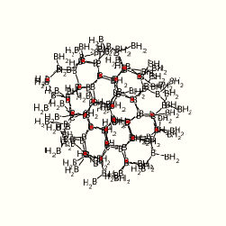 BBB(B)B(B(B)B)B(B(B(B)B)B(B)B)B(B(B(B(B(B)B)B(B)B)B(B(B)B)B(B)B)B(B(B(B)B)B(B)B)B(B(B)B)B(B)B)B(B(B(B(B(B)B)B(B)B)B(B(B)B)B(B)B)B(B(B(B)B)B(B)B)B(B(B)B)B(B)B)B(B(B(B(B(B)B)B(B)B)B(B(B)B)B(B)B)B(B(B(B)B)B(B)B)B(B(B)B)B(B)B)B(B(B(B(B)B)B(B)B)B(B(B)B)B(B)B)B(B(B(B)B)B(B)B)B(B(B)B)B(B)B